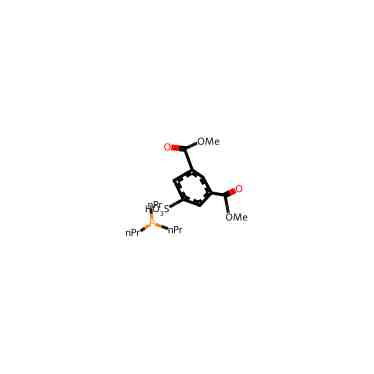 CCCP(CCC)CCC.COC(=O)c1cc(C(=O)OC)cc(S(=O)(=O)O)c1